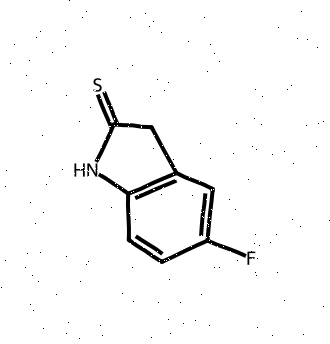 Fc1ccc2c(c1)CC(=S)N2